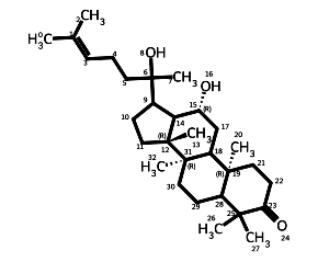 CC(C)=CCCC(C)(O)C1CC[C@]2(C)C1[C@H](O)CC1[C@@]3(C)CCC(=O)C(C)(C)C3CC[C@]12C